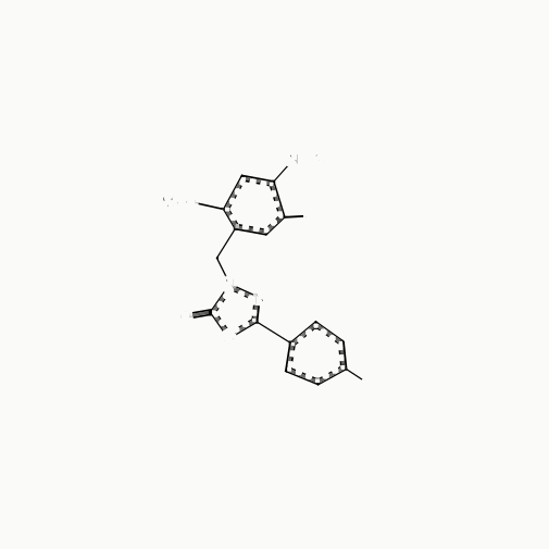 COc1cc(NC(C)=O)c(Cl)cc1Cn1nc(-c2ccc(C(F)(F)F)cc2)oc1=O